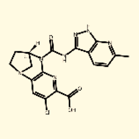 Cc1ccc2c(NC(=O)N3c4nc(C(=O)O)c(Cl)cc4N4CC[C@H]3C4)n[nH]c2n1